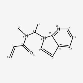 C=CC(=O)N(C)C(C)n1ccc2cccnc21